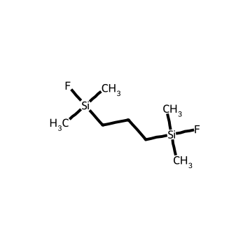 C[Si](C)(F)CCC[Si](C)(C)F